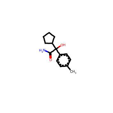 Cc1ccc(C(O)(C(N)=O)C2CCCC2)cc1